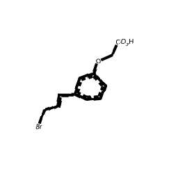 O=C(O)COc1cccc(/C=C/CBr)c1